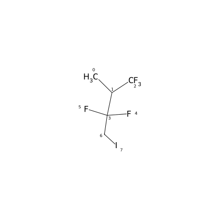 CC(C(F)(F)F)C(F)(F)CI